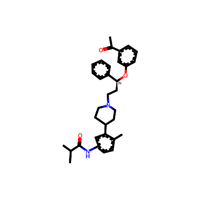 CC(=O)c1cccc(O[C@@H](CCN2CCC(c3cc(NC(=O)C(C)C)ccc3C)CC2)c2ccccc2)c1